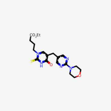 CCOC(=O)CCCn1cc(Cc2cnc(N3CCOCC3)nc2)c(=O)[nH]c1=S